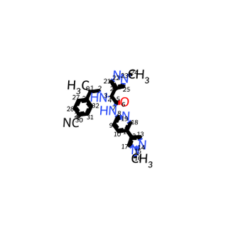 C[C@@H](CN[C@@H](C(=O)Nc1ccc(-c2cnn(C)c2)cn1)c1cnn(C)c1)c1ccc(C#N)cc1